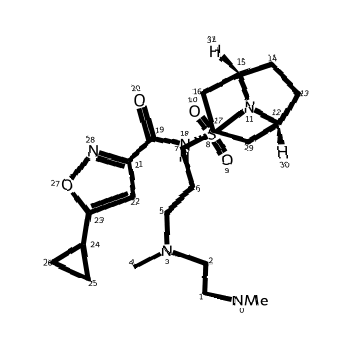 CNCCN(C)CCCS(=O)(=O)N1[C@@H]2CC[C@H]1C[C@@H](NC(=O)c1cc(C3CC3)on1)C2